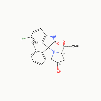 COC(=O)[C@@H]1C[C@@H](O)CN1C1(c2ccccc2OC)C(=O)Nc2ccc(Cl)cc21